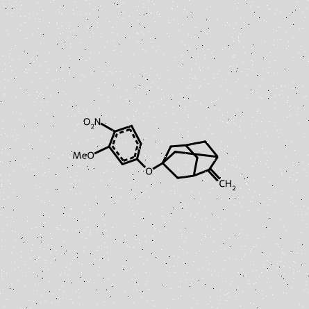 C=C1C2CC3CC1CC(Oc1ccc([N+](=O)[O-])c(OC)c1)(C3)C2